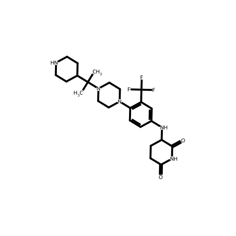 CC(C)(C1CCNCC1)N1CCN(c2ccc(NC3CCC(=O)NC3=O)cc2C(F)(F)F)CC1